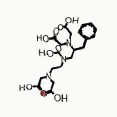 O=C(O)CN(CCN(CC(Cc1ccccc1)N(CC(=O)O)CC(=O)O)C(=O)O)CC(=O)O